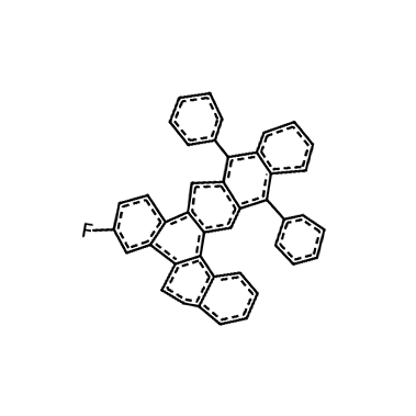 Fc1ccc2c(c1)c1ccc3ccccc3c1c1cc3c(-c4ccccc4)c4ccccc4c(-c4ccccc4)c3cc21